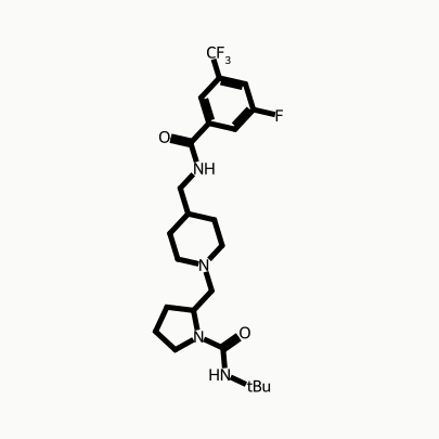 CC(C)(C)NC(=O)N1CCCC1CN1CCC(CNC(=O)c2cc(F)cc(C(F)(F)F)c2)CC1